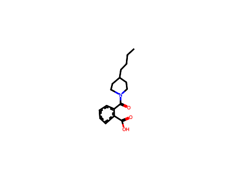 CCCCC1CCN(C(=O)c2ccccc2C(=O)O)CC1